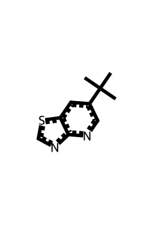 CC(C)(C)c1cnc2ncsc2c1